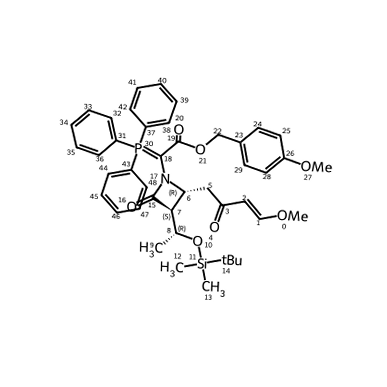 COC=CC(=O)C[C@@H]1[C@@H]([C@@H](C)O[Si](C)(C)C(C)(C)C)C(=O)N1C(C(=O)OCc1ccc(OC)cc1)=P(c1ccccc1)(c1ccccc1)c1ccccc1